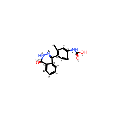 Cc1cc(NC(=O)O)ccc1-c1n[nH]c(=O)c2ccccc12